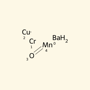 [BaH2].[Cr].[Cu].[O]=[Mn]